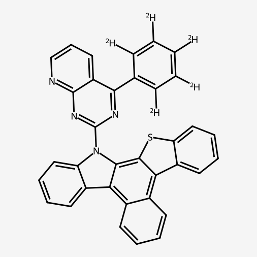 [2H]c1c([2H])c([2H])c(-c2nc(-n3c4ccccc4c4c5ccccc5c5c6ccccc6sc5c43)nc3ncccc23)c([2H])c1[2H]